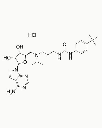 CC(C)N(CCCNC(=O)Nc1ccc(C(C)(C)C)cc1)C[C@H]1O[C@@H](n2ccc3c(N)ncnc32)[C@H](O)[C@@H]1O.Cl